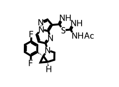 CC(=O)NC(=N)SC(=N)c1cnn2ccc(N3CC[C@H]4C[C@]43c3cc(F)ccc3F)nc12